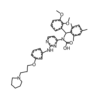 COc1cccc(C(c2c(C)cc(C)cc2C)N(C(=O)O)c2ccnc(Nc3cccc(OCCCN4CCCCC4)c3)n2)c1OC